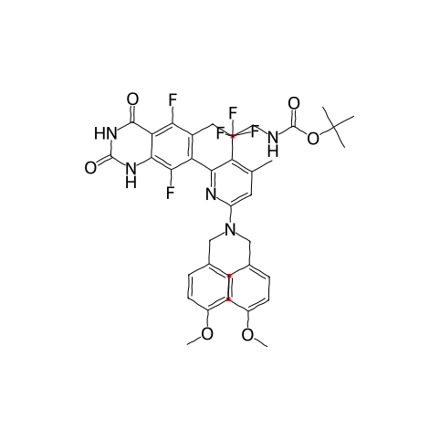 COc1ccc(CN(Cc2ccc(OC)cc2)c2cc(C)c(C(F)(F)F)c(-c3c(CCCNC(=O)OC(C)(C)C)c(F)c4c(=O)[nH]c(=O)[nH]c4c3F)n2)cc1